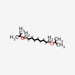 CC(C)O[SiH2]CCCCCCC[SiH2]OC(C)C